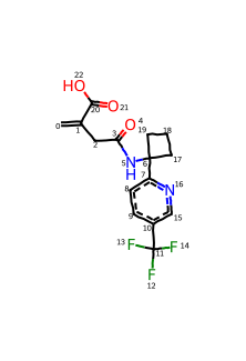 C=C(CC(=O)NC1(c2ccc(C(F)(F)F)cn2)CCC1)C(=O)O